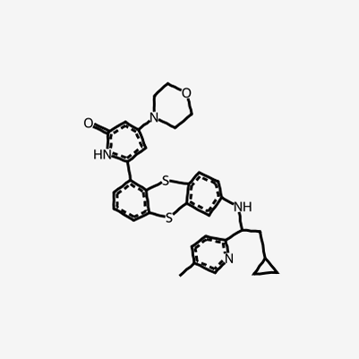 Cc1ccc(C(CC2CC2)Nc2ccc3c(c2)Sc2cccc(-c4cc(N5CCOCC5)cc(=O)[nH]4)c2S3)nc1